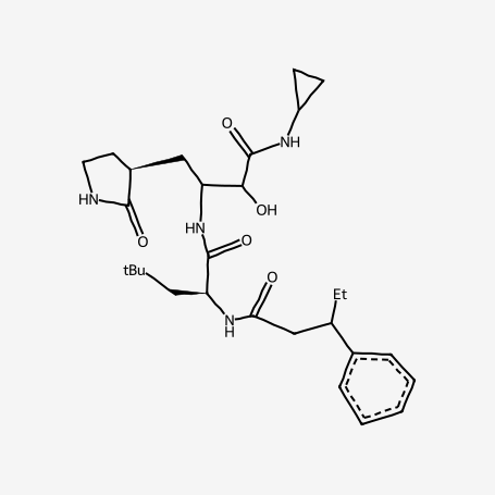 CCC(CC(=O)N[C@@H](CC(C)(C)C)C(=O)NC(C[C@@H]1CCNC1=O)C(O)C(=O)NC1CC1)c1ccccc1